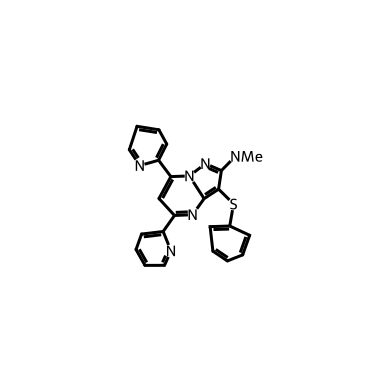 CNc1nn2c(-c3ccccn3)cc(-c3ccccn3)nc2c1Sc1ccccc1